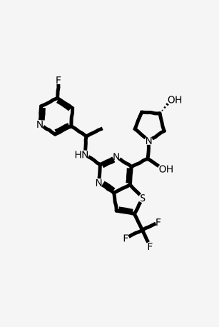 CC(Nc1nc(C(O)N2CC[C@H](O)C2)c2sc(C(F)(F)F)cc2n1)c1cncc(F)c1